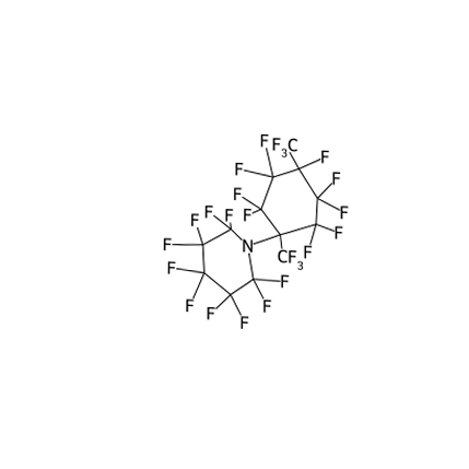 FC(F)(F)C1(F)C(F)(F)C(F)(F)C(N2C(F)(F)C(F)(F)C(F)(F)C(F)(F)C2(F)F)(C(F)(F)F)C(F)(F)C1(F)F